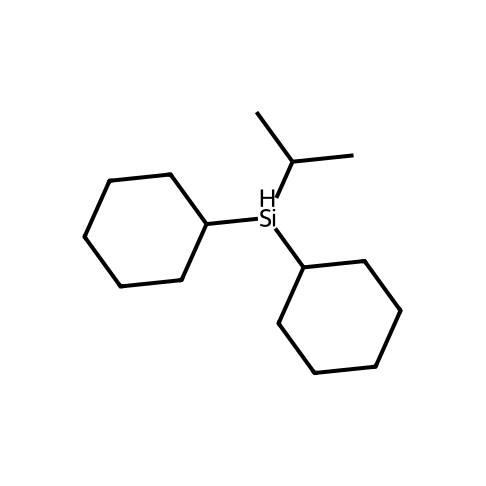 CC(C)[SiH](C1CCCCC1)C1CCCCC1